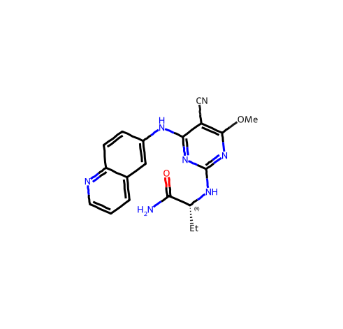 CC[C@@H](Nc1nc(Nc2ccc3ncccc3c2)c(C#N)c(OC)n1)C(N)=O